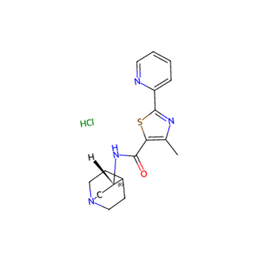 Cc1nc(-c2ccccn2)sc1C(=O)N[C@H]1CN2CCC1CC2.Cl